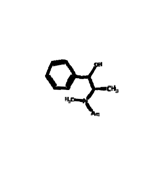 CC(=O)N(C)[C@H](C)C(O)c1ccccc1